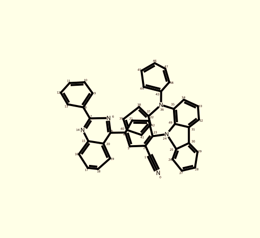 N#Cc1cc(-c2nc(-c3ccccc3)nc3ccccc23)ccc1-n1c2ccccc2c2cccc(N(c3ccccc3)c3ccccc3)c21